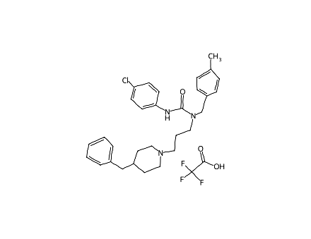 Cc1ccc(CN(CCCN2CCC(Cc3ccccc3)CC2)C(=O)Nc2ccc(Cl)cc2)cc1.O=C(O)C(F)(F)F